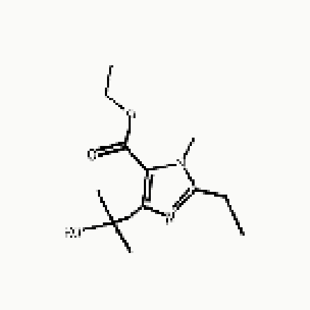 CCOC(=O)c1c(C(C)(C)O)nc(CC)n1C